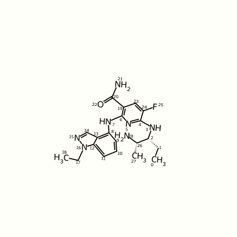 CC[C@@H](Nc1nc(Nc2cccc3c2cnn3CC)c(C(N)=O)cc1F)[C@H](C)N